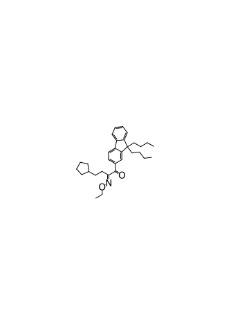 CCCCC1(CCCC)c2ccccc2-c2ccc(C(=O)/C(CCC3CCCC3)=N/OCC)cc21